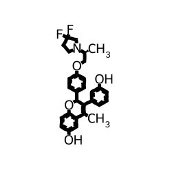 CC1=C(c2cccc(O)c2)C(c2ccc(OC[C@H](C)N3CCC(F)(F)C3)cc2)Oc2ccc(O)cc21